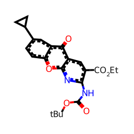 CCOC(=O)c1cc2c(=O)c3cc(C4CC4)ccc3oc2nc1NC(=O)OC(C)(C)C